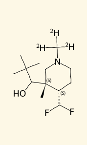 [2H]C([2H])([2H])N1CC[C@H](C(F)F)[C@](C)(C(O)C(C)(C)C)C1